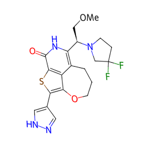 COC[C@H](c1[nH]c(=O)c2sc(-c3cn[nH]c3)c3c2c1CCCO3)N1CCC(F)(F)C1